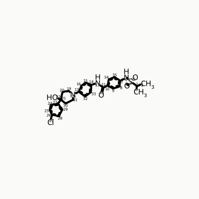 CC(C)S(=O)(=O)Nc1ccc(C(=O)Nc2ccc(N3CCC(O)(c4ccc(Cl)cc4)CC3)cc2)cc1